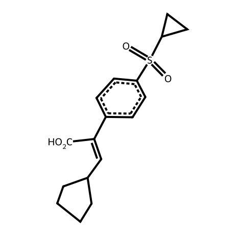 O=C(O)C(=CC1CCCC1)c1ccc(S(=O)(=O)C2CC2)cc1